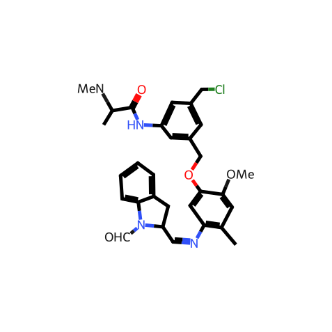 CNC(C)C(=O)Nc1cc(CCl)cc(COc2cc(/N=C\C3Cc4ccccc4N3C=O)c(C)cc2OC)c1